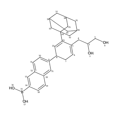 OCC(O)CC1=CCC(c2ccc3cc(B(O)O)ccc3c2)C=C1C12CC3CC(CC(C3)C1)C2